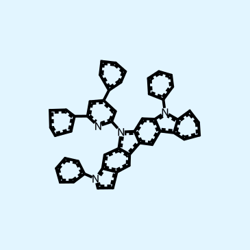 c1ccc(-c2cc(-c3ccccc3)nc(-n3c4cc5c(ccn5-c5ccccc5)cc4c4cc5c6ccccc6n(-c6ccccc6)c5cc43)c2)cc1